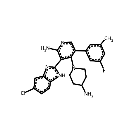 Cc1cc(F)cc(-c2cnc(N)c(-c3nc4cc(Cl)ccc4[nH]3)c2N2CCC(N)CC2)c1